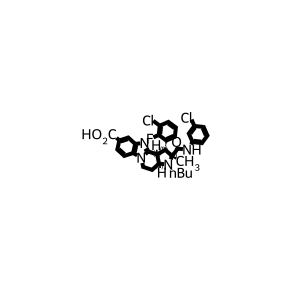 CCCCN1[C@H]2CCn3c(nc4cc(C(=O)O)ccc43)[C@H]2[C@H](c2cccc(Cl)c2F)[C@]1(C)C(=O)Nc1cccc(Cl)c1